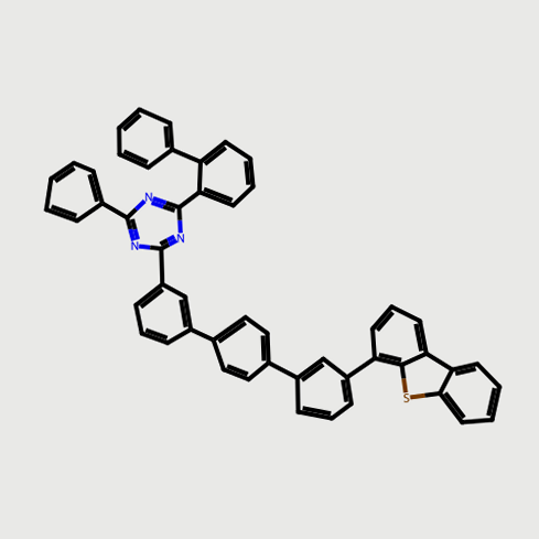 c1ccc(-c2nc(-c3cccc(-c4ccc(-c5cccc(-c6cccc7c6sc6ccccc67)c5)cc4)c3)nc(-c3ccccc3-c3ccccc3)n2)cc1